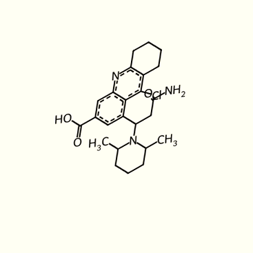 CC1CCCC(C)N1C(CC(N)=O)c1cc(C(=O)O)cc2nc3c(c(Cl)c12)CCCC3